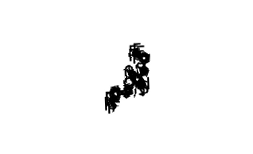 FS(F)(F)(F)(F)c1cccc(-c2ccc(-c3c4c(c(-c5ccc(-c6cccc(S(F)(F)(F)(F)F)c6)s5)c5nsnc35)N=S=N4)s2)c1